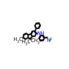 CC1C=CC2C3=CC(C4C=CC=CC4)=C(Nc4cccc(C=NF)c4)CC3C(C)(C)C2C1